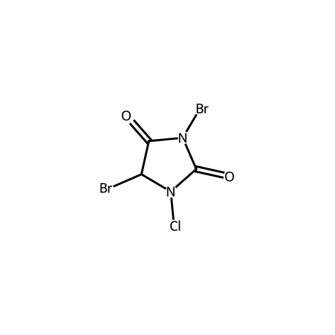 O=C1C(Br)N(Cl)C(=O)N1Br